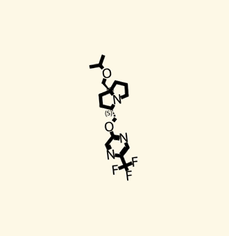 CC(C)OC[C@@]12CCCN1[C@H](COc1cnc(C(F)(F)F)cn1)CC2